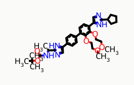 COCCOc1c(-c2ccc(-c3cnc(C(C)NC(=O)OC(C)(C)C)[nH]3)cc2)ccc(-c2cnc(C3CCCC3)[nH]2)c1OCCOC